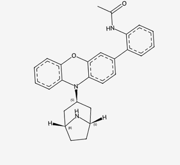 CC(=O)Nc1ccccc1-c1ccc2c(c1)Oc1ccccc1N2[C@@H]1C[C@H]2CC[C@@H](C1)N2